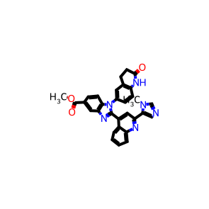 COC(=O)c1ccc2c(c1)nc(-c1cc(-c3cncn3C)nc3ccccc13)n2-c1ccc2c(c1)CCC(=O)N2